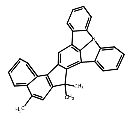 Cc1cc2c(c3ccccc13)-c1cc3c4ccccc4n4c5ccccc5c(c1C2(C)C)c34